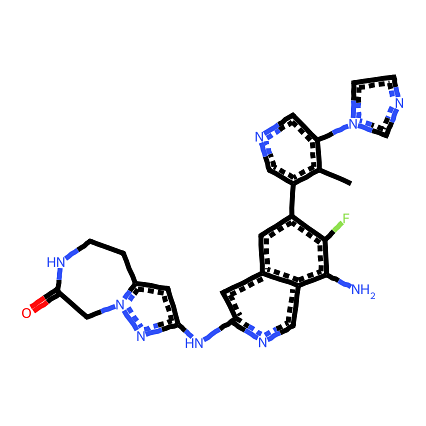 Cc1c(-c2cc3cc(Nc4cc5n(n4)CC(=O)NCC5)ncc3c(N)c2F)cncc1-n1ccnc1